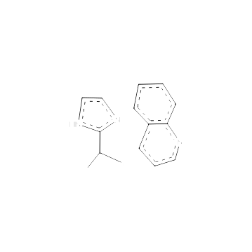 CC(O)c1ncc[nH]1.c1ccc2ncccc2c1